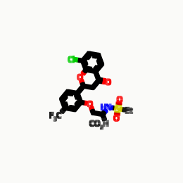 CCS(=O)(=O)NC(COc1cc(C(F)(F)F)ccc1C1CC(=O)c2cccc(Cl)c2O1)C(=O)O